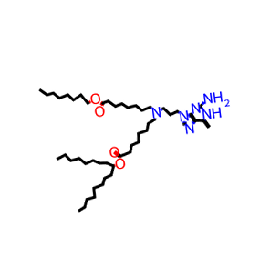 C=C1NC(N)=Nc2c1ncn2CCCN(CCCCCCCC(=O)OCCCCCCCC)CCCCCCCC(=O)OC(CCCCCCCC)CCCCCCCC